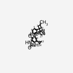 CC1CC(c2cccc(-n3cc(C4CC4)c4[nH]c(=O)[nH]c4c3=O)c2)(c2nncn2C)C1